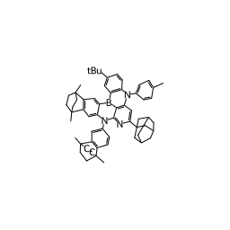 Cc1ccc(N2c3ccc(C(C)(C)C)cc3B3c4cc5c(cc4N(c4ccc6c(c4)C4(C)CCC6(C)CC4)c4nc(C67CC8CC(CC(C8)C6)C7)cc2c43)C2(C)CCC5(C)CC2)cc1